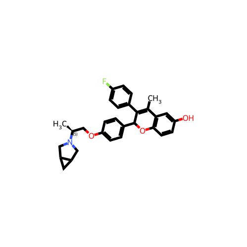 CC1=C(c2ccc(F)cc2)C(c2ccc(OC[C@H](C)N3CC4CC4C3)cc2)Oc2ccc(O)cc21